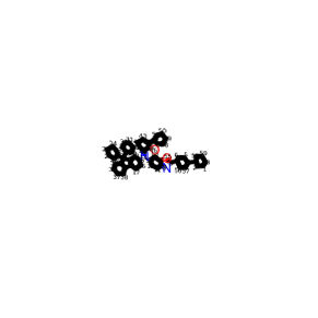 c1ccc(-c2ccc(-c3nc4ccc(N(c5ccc6c(c5)C(c5ccccc5)(c5ccccc5)c5ccccc5-6)c5cccc6c5oc5ccccc56)cc4o3)cc2)cc1